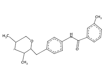 Cc1cccc(C(=O)Nc2ccc(CC3OCC(C)[C]C3C)cc2)c1